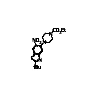 CCOC(=O)N1CCN(c2cc3nc(C(C)(C)C)sc3cc2[N+](=O)[O-])CC1